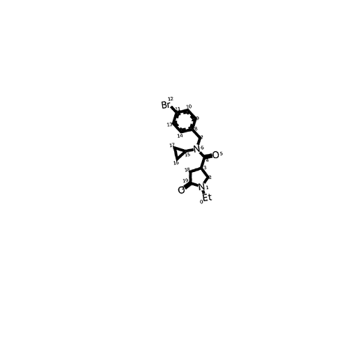 CCN1CC(C(=O)N(Cc2ccc(Br)cc2)C2CC2)CC1=O